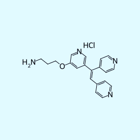 Cl.NCCCOc1cncc(C(=Cc2ccncc2)c2ccncc2)c1